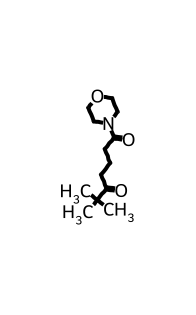 CC(C)(C)C(=O)CCCC(=O)N1CCOCC1